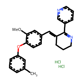 COc1cc(C=C2CCCN=C2c2cccnc2)ccc1Oc1cccc(C)c1.Cl.Cl